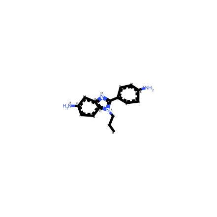 CCCn1c(-c2ccc(N)cc2)nc2cc(N)ccc21